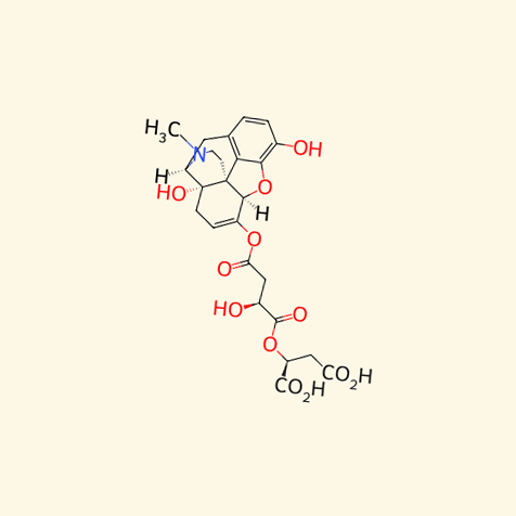 CN1CC[C@]23c4c5ccc(O)c4O[C@H]2C(OC(=O)C[C@H](O)C(=O)O[C@@H](CC(=O)O)C(=O)O)=CC[C@@]3(O)[C@H]1C5